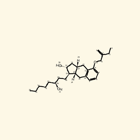 C=C(CC)COc1cccc2c1C[C@H]1C[C@@H](O)[C@H](CC[C@@H](O)CCCCC)[C@H]1C2